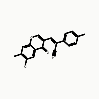 Cc1ccc(C(C#N)=Cc2coc3cc(C)c(Cl)cc3c2=O)cc1